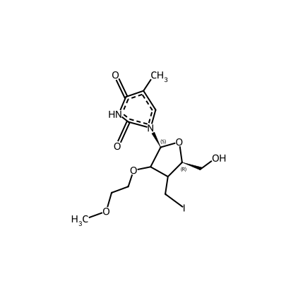 COCCOC1C(CI)[C@H](CO)O[C@@H]1n1cc(C)c(=O)[nH]c1=O